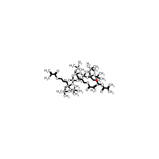 C=C(C)C(=O)OCCC[Si](O[Si](C)(C)C)(O[Si](C)(C)C)O[Si](C)(C)O[Si](CCCOC(=O)C(=C)C)(O[Si](C)(C)C)O[Si](C)(C)O[Si](CCCOC(=O)C(=C)C)(O[Si](C)(C)C)O[Si](C)(C)C